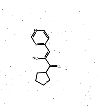 N#C/C(=C\c1ccncn1)C(=O)C1CCCC1